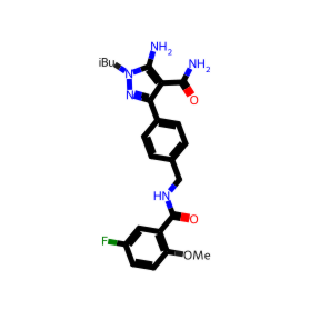 CCC(C)n1nc(-c2ccc(CNC(=O)c3cc(F)ccc3OC)cc2)c(C(N)=O)c1N